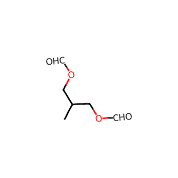 CC(COC=O)COC=O